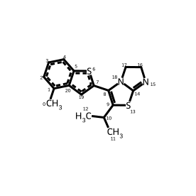 Cc1cccc2sc(C3=C(C(C)C)SC4=NCCN43)cc12